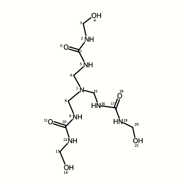 O=C(NCO)NCN(CNC(=O)NCO)CNC(=O)NCO